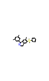 Cc1cc(C)cc(-c2nccc3cc(S(C)(C)c4ccccc4)c(C)cc23)c1